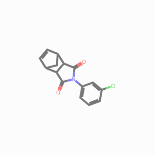 O=C1C2C3C=CC(C3)C2C(=O)N1c1cccc(Cl)c1